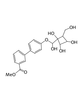 COC(=O)c1cccc(-c2ccc(OC(O)C3(O)C(O)C(O)C3CO)cc2)c1